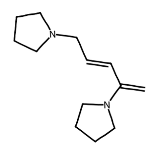 C=C(/C=C/CN1CCCC1)N1CCCC1